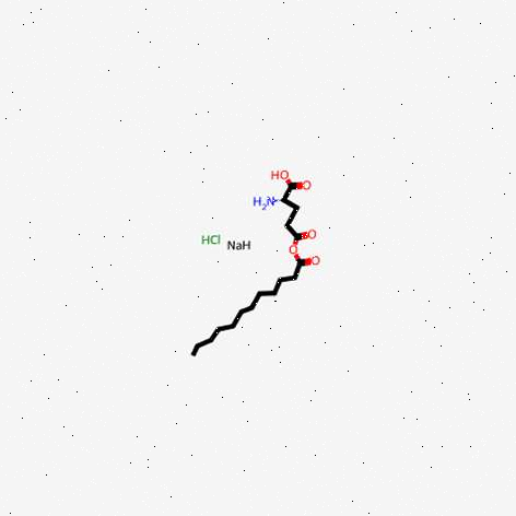 CCCCCCCCCCCC(=O)OC(=O)CC[C@H](N)C(=O)O.Cl.[NaH]